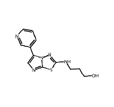 OCCCNc1nn2c(-c3cccnc3)cnc2s1